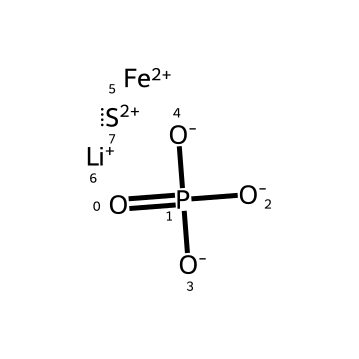 O=P([O-])([O-])[O-].[Fe+2].[Li+].[S+2]